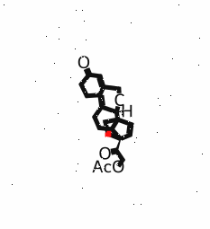 CC(=O)OCC(=O)[C@@]12C=CC3(CC1)[C@@H]1CCC4=CC(=O)CCC4=C1CC[C@@]32C